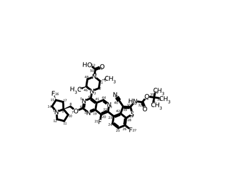 C[C@@H]1CN(c2nc(OC[C@@]34CCCN3C[C@H](F)C4)nc3c(F)c(-c4ccc(F)c5sc(NC(=O)OC(C)(C)C)c(C#N)c45)ncc23)[C@@H](C)CN1C(=O)O